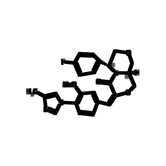 COc1cc(C=C2OC[C@H]3COC[C@@H](c4ccc(F)cc4)N3C2=O)ccc1-n1cnc(C)c1